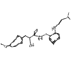 COc1ccc(CC(O)C(=O)NSc2ccccc2NCCN(C)C)cc1